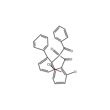 Cc1cccc(-c2ccccc2)c1P(=O)(C(=O)c1ccccc1)C(=O)c1c(Cl)cccc1Cl